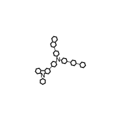 c1ccc(-c2ccc(-c3ccc(N(c4ccc(-c5ccc6ccccc6c5)cc4)c4ccc(-c5ccc6c(c5)c5ccccc5n6-c5ccccc5)cc4)cc3)cc2)cc1